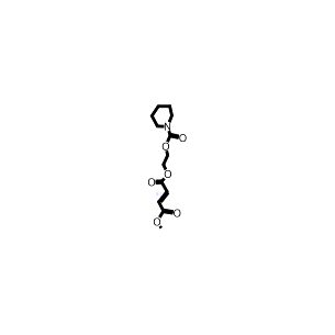 COC(=O)/C=C/C(=O)OCCOC(=O)N1CCCCC1